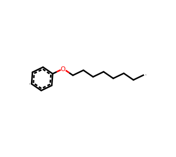 [CH2]CCCCCCCOc1cc[c]cc1